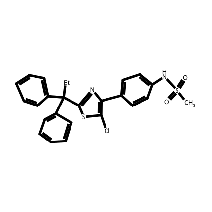 [CH2]CC(c1ccccc1)(c1ccccc1)c1nc(-c2ccc(NS(C)(=O)=O)cc2)c(Cl)s1